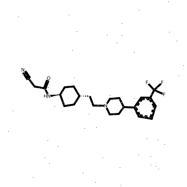 N#CCC(=O)N[C@H]1CC[C@H](CCN2CCC(c3cccc(C(F)(F)F)c3)CC2)CC1